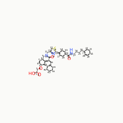 O=C(O)COc1ccc(CN(Cc2csc(-c3ccc(C(=O)NCCCCc4ccccc4)cc3)n2)C(=O)/C=C/c2ccccc2)cc1